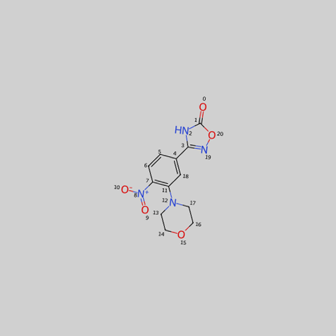 O=c1[nH]c(-c2ccc([N+](=O)[O-])c(N3CCOCC3)c2)no1